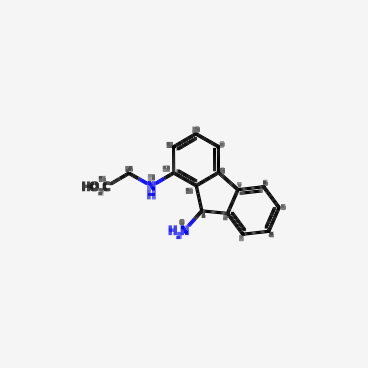 NC1c2ccccc2-c2cccc(NCC(=O)O)c21